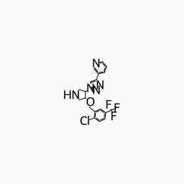 FC(F)(F)c1ccc(Cl)c(COC2CNCC2n2cc(-c3cccnc3)nn2)c1